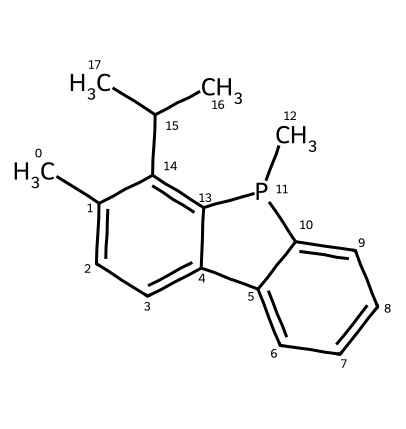 Cc1ccc2c3ccccc3p(C)c2c1C(C)C